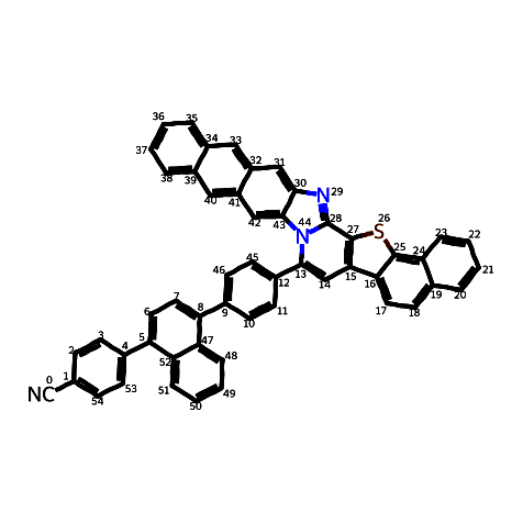 N#Cc1ccc(-c2ccc(-c3ccc(-c4cc5c6ccc7ccccc7c6sc5c5nc6cc7cc8ccccc8cc7cc6n45)cc3)c3ccccc23)cc1